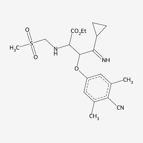 CCOC(=O)C(NCS(C)(=O)=O)C(Oc1cc(C)c(C#N)c(C)c1)C(=N)C1CC1